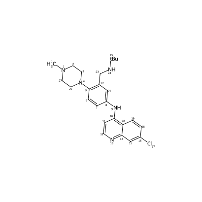 CN1CCN(c2ccc(Nc3ccnc4cc(Cl)ccc34)cc2CNC(C)(C)C)CC1